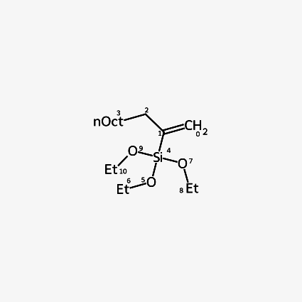 C=C(CCCCCCCCC)[Si](OCC)(OCC)OCC